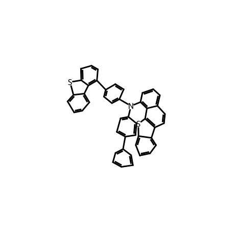 c1ccc(-c2ccc(N(c3ccc(-c4cccc5sc6ccccc6c45)cc3)c3cccc4ccc5c6ccccc6sc5c34)cc2)cc1